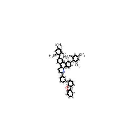 Cc1cc(C)c(-c2ccc3c(c2)c2cc(-c4c(C)cc(C)cc4C)ccc2c2nc(-c4cccc(-c5cccc6c5oc5ccccc56)c4)ccc32)c(C)c1